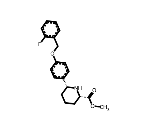 COC(=O)[C@@H]1CCC[C@H](c2ccc(OCc3ccccc3F)cc2)N1